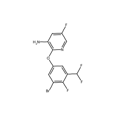 Nc1cc(F)cnc1Oc1cc(Br)c(F)c(C(F)F)c1